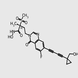 C[C@@](CCn1cnc2cc(C#CC#CC3(CO)CC3)c(F)cc2c1=O)(C(=O)NO)S(C)(=O)=O